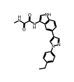 CCc1ccc(-n2cc(-c3ccc4[nH]cc(NC(=O)C(=O)NC)c4c3)cn2)cc1